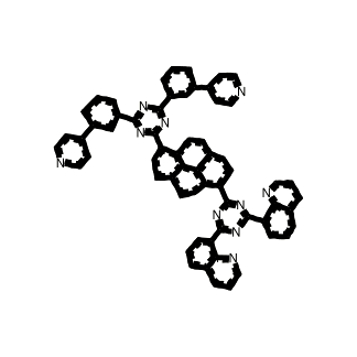 c1cc(-c2ccncc2)cc(-c2nc(-c3cccc(-c4ccncc4)c3)nc(-c3ccc4ccc5c(-c6nc(-c7cccc8cccnc78)nc(-c7cccc8cccnc78)n6)ccc6ccc3c4c65)n2)c1